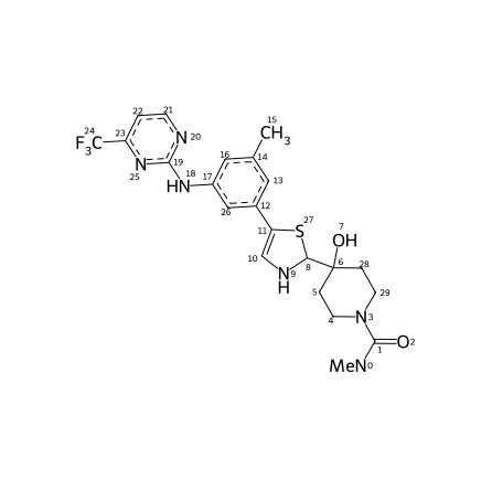 CNC(=O)N1CCC(O)(C2NC=C(c3cc(C)cc(Nc4nccc(C(F)(F)F)n4)c3)S2)CC1